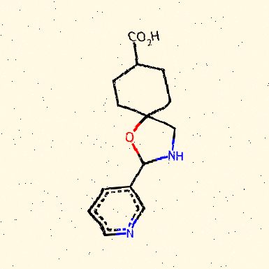 O=C(O)C1CCC2(CC1)CNC(c1cccnc1)O2